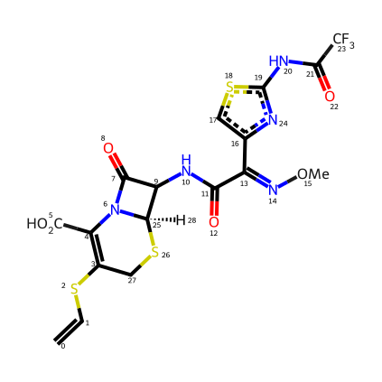 C=CSC1=C(C(=O)O)N2C(=O)C(NC(=O)/C(=N/OC)c3csc(NC(=O)C(F)(F)F)n3)[C@H]2SC1